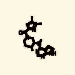 Cc1cc(C(=O)N2CCC(C)C(N(C)c3ncnc4[nH]ccc34)C2)nn1C